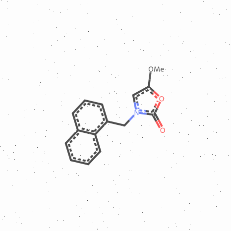 COc1cn(Cc2cccc3ccccc23)c(=O)o1